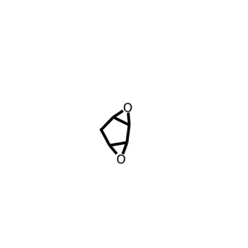 C1C2OC2C2OC12